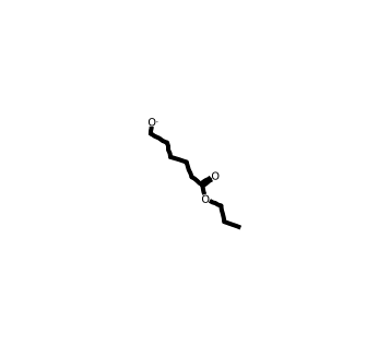 CCCOC(=O)CCCCC[O]